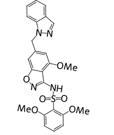 COc1cccc(OC)c1S(=O)(=O)Nc1noc2cc(Cn3ncc4ccccc43)cc(OC)c12